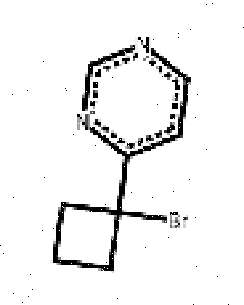 BrC1(c2ccncn2)CCC1